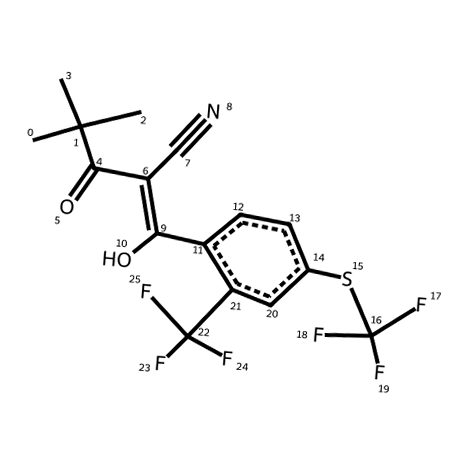 CC(C)(C)C(=O)/C(C#N)=C(\O)c1ccc(SC(F)(F)F)cc1C(F)(F)F